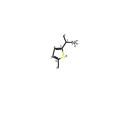 [C-]#[N+]C(C)c1ccc(C)s1